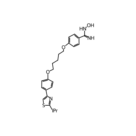 CC(C)c1nc(-c2ccc(OCCCCCOc3ccc(C(=N)NO)cc3)cc2)cs1